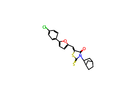 O=C1C(=Cc2ccc(-c3ccc(Cl)cc3)o2)SC(=S)N1C1CC2CCC1C2